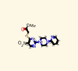 COC(=O)CSc1nc(N2CCN(c3ccccn3)CC2)ncc1[N+](=O)[O-]